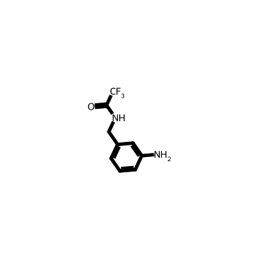 Nc1cccc(CNC(=O)C(F)(F)F)c1